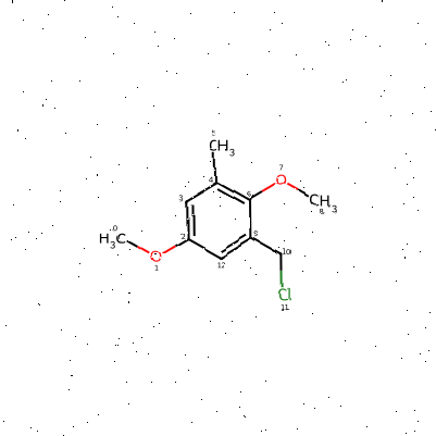 COc1cc(C)c(OC)c(CCl)c1